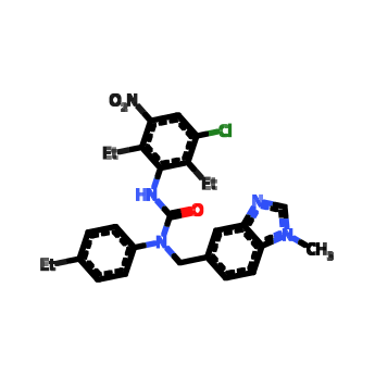 CCc1ccc(N(Cc2ccc3c(c2)ncn3C)C(=O)Nc2c(CC)c(Cl)cc([N+](=O)[O-])c2CC)cc1